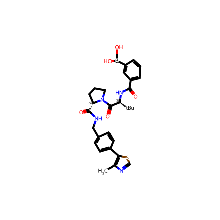 Cc1ncsc1-c1ccc(CNC(=O)[C@@H]2CCCN2C(=O)[C@@H](NC(=O)c2cccc(B(O)O)c2)C(C)(C)C)cc1